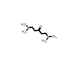 CN(C)CCC(=O)CCN(C)C